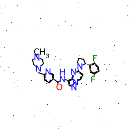 CN1CCN(Cc2ccc(C(=O)Nc3cnn4ccc(N5CCC[C@@H]5c5cc(F)ccc5F)nc34)cn2)CC1